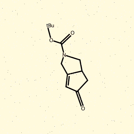 CC(C)(C)OC(=O)N1CC2=CC(=O)CC2C1